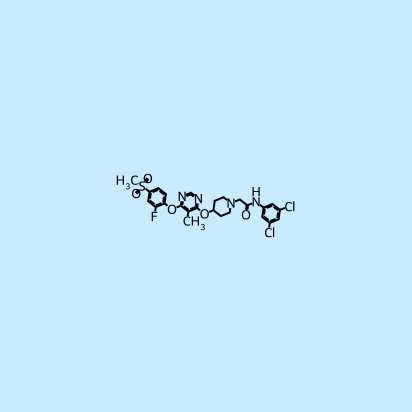 Cc1c(Oc2ccc(S(C)(=O)=O)cc2F)ncnc1OC1CCN(CC(=O)Nc2cc(Cl)cc(Cl)c2)CC1